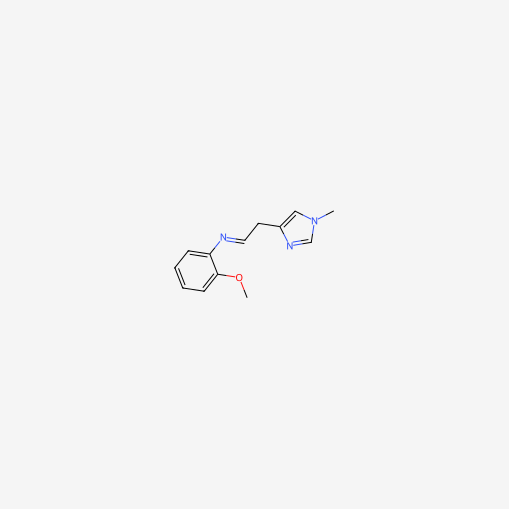 COc1ccccc1N=CCc1cn(C)cn1